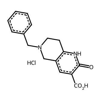 Cl.O=C(O)c1cc2c([nH]c1=O)CCN(Cc1ccccc1)C2